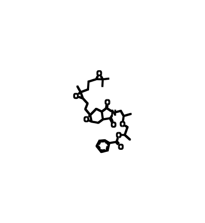 CC(CN1C(=O)C2CC3OC3(CCC3OC3(C)CCC3OC3(C)C)CC2C1=O)OCC(C)OC(=O)c1ccccc1